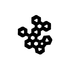 c1ccc(N2c3cc4c5ccccc5c5ccccc5c4cc3B3c4c(cccc42)-c2cccc4c5ccccc5n3c24)cc1